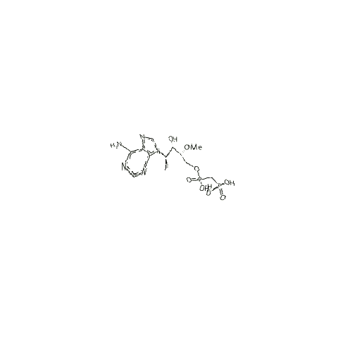 CO[C@H](COP(=O)(O)CP(=O)(O)O)[C@@H](O)[C@@H](F)n1cnc2c(N)ncnc21